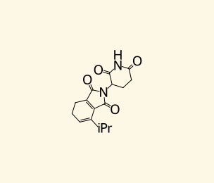 CC(C)C1=CCCC2=C1C(=O)N(C1CCC(=O)NC1=O)C2=O